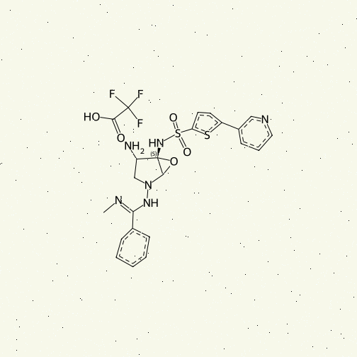 CN=C(NN1CC(N)[C@]2(NS(=O)(=O)c3ccc(-c4cccnc4)s3)OC12)c1ccccc1.O=C(O)C(F)(F)F